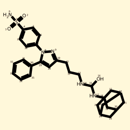 NS(=O)(=O)c1ccc(-n2nc(CCCNC(O)NC34CC5CC(CC(C5)C3)C4)cc2-c2ccccc2)cc1